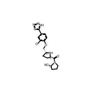 N#C[C@@H]1CCCN1C(=O)[C@H]1CC[C@H](COc2ccc(-c3nnn[nH]3)cc2Cl)N1